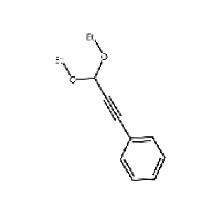 CCOC(C#Cc1ccccc1)OCC